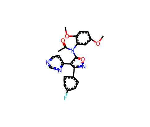 COc1ccc(OC)c(N(C(C)=O)c2onc(-c3ccc(F)cc3)c2-c2ccncn2)c1